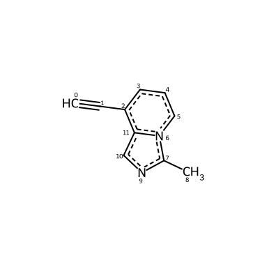 C#Cc1cccn2c(C)ncc12